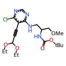 CCOC(C#Cc1c(Cl)ncnc1NCC(COC)NC(=O)OC(C)(C)C)OCC